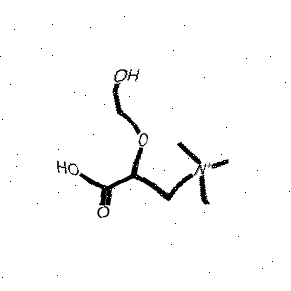 C[N+](C)(C)CC(OCO)C(=O)O